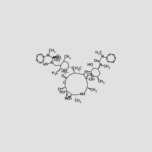 CCCN(C[C@]1(O)[C@H](C)O[C@@H](O[C@H]2[C@H](C)[C@@H](O[C@@H]3O[C@H](C)C[C@H](N(C)C(=O)N(C)c4ccccc4)[C@H]3O)[C@](C)(O)C[C@@H](C)CN[C@H](C)[C@@H](O)[C@](C)(O)[C@@H](CC)OC(=O)[C@@H]2C)C[C@@]1(C)OC)C(=O)N(C)c1ccccc1